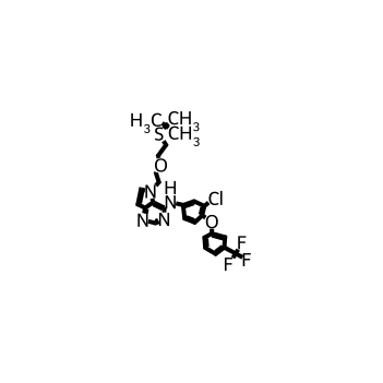 CC(C)(C)SCCOCCn1ccc2ncnc(Nc3ccc(Oc4cccc(C(F)(F)F)c4)c(Cl)c3)c21